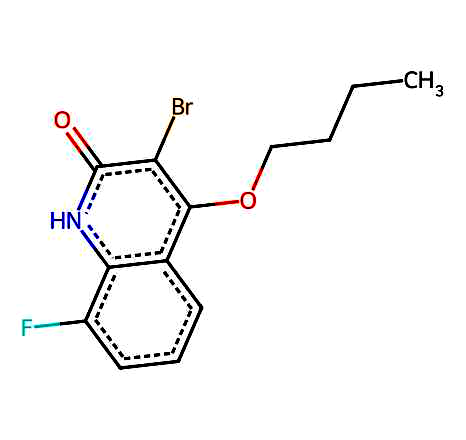 CCCCOc1c(Br)c(=O)[nH]c2c(F)cccc12